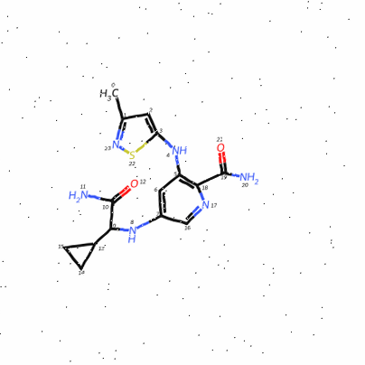 Cc1cc(Nc2cc(NC(C(N)=O)C3CC3)cnc2C(N)=O)sn1